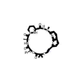 CC(C)[C@@H]1OC(=O)C(C)(C)C/C=C/c2ccc3ccc(nc3c2)N(C)NC(=O)[C@@H]2CCCN(N2)C(=O)[C@H](C)NC1=O